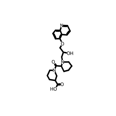 O=C(O)C1CCCN(C(=O)C2CCCCN2CC(O)COc2cccc3ncccc23)C1